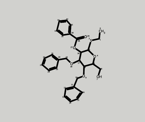 CCSC1OC(CO)C(OCc2ccccc2)C(OCc2ccccc2)C1OC(=O)c1ccccc1